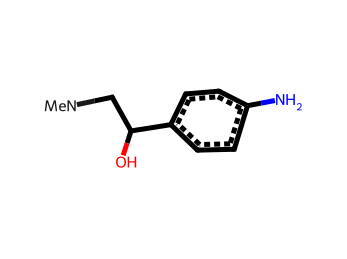 CNCC(O)c1ccc(N)cc1